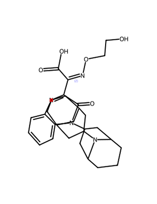 O=C(O)/C(=N\OCCO)c1nc2ccccc2n(C2CC3CCCC(C2)N3C2CC3CCCC(C3)C2)c1=O